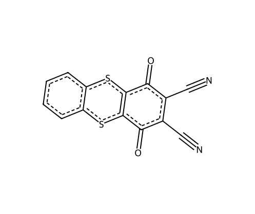 N#Cc1c(C#N)c(=O)c2sc3ccccc3sc=2c1=O